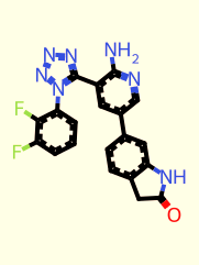 Nc1ncc(-c2ccc3c(c2)NC(=O)C3)cc1-c1nnnn1-c1cccc(F)c1F